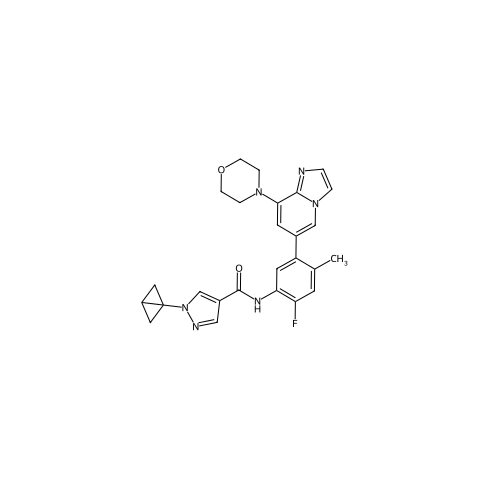 Cc1cc(F)c(NC(=O)c2cnn(C34CC3C4)c2)cc1-c1cc(N2CCOCC2)c2nccn2c1